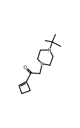 CC(C)(C)N1CCN(CC(=O)C2=CCC2)CC1